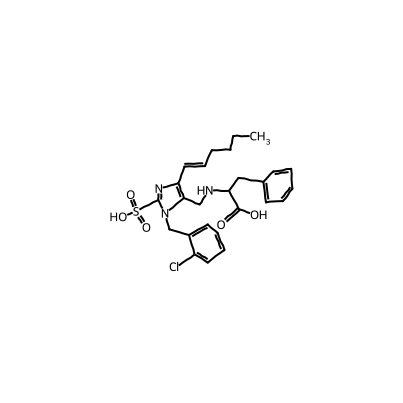 CCCCC=Cc1nc(S(=O)(=O)O)n(Cc2ccccc2Cl)c1CNC(Cc1ccccc1)C(=O)O